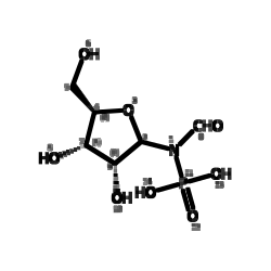 O=CN(C1O[C@H](CO)[C@@H](O)[C@H]1O)P(=O)(O)O